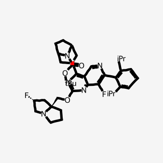 CC(C)c1cccc(C(C)C)c1-c1ncc2c(N3CC4CCC(C3)N4C(=O)OC(C)(C)C)nc(OC[C@@]34CCCN3C[C@H](F)C4)nc2c1F